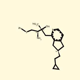 CC(C)SC[C@H](N)[C@](O)(Cc1nccc2c1C[C@H](CCC1CC1)C2)C(=O)O